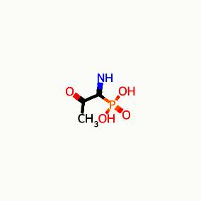 CC(=O)C(=N)P(=O)(O)O